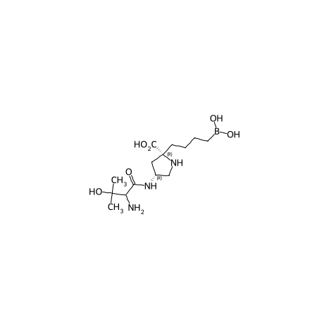 CC(C)(O)C(N)C(=O)N[C@H]1CN[C@@](CCCCB(O)O)(C(=O)O)C1